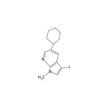 Cn1cc(I)c2cc(C3CCCCC3)cnc21